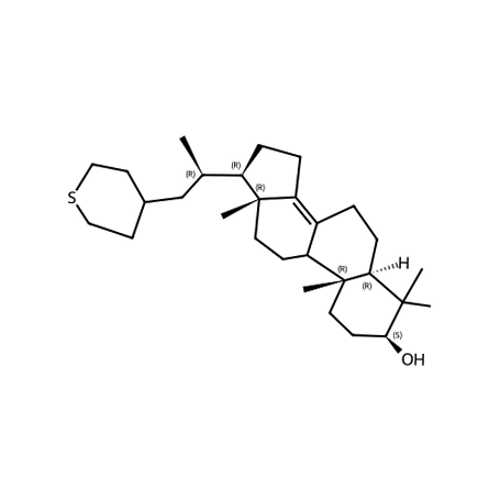 C[C@H](CC1CCSCC1)[C@H]1CCC2=C3CC[C@H]4C(C)(C)[C@@H](O)CC[C@]4(C)C3CC[C@@]21C